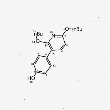 CCCCOc1ccc(-c2ccc(O)cc2)c(OCCCC)n1